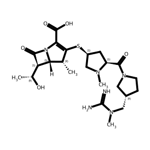 C[C@@H](O)[C@H]1C(=O)N2C(C(=O)O)=C(S[C@H]3C[C@@H](C(=O)N4CC[C@H](CN(C)C(=N)N)C4)N(C)C3)[C@H](C)[C@H]12